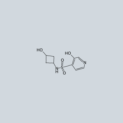 O=S(=O)(NC1CC(O)C1)c1ccncc1O